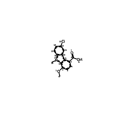 COc1ccc(C(=O)O)c2c3cc(Cl)ccc3n(C)c12